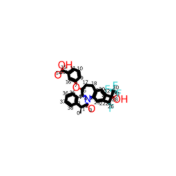 C[C@H](C(=O)N1C[C@@H](Oc2cccc(C(=O)O)c2)CCc2cc3c(cc21)C(F)C3(O)C(F)(F)F)c1ccccc1